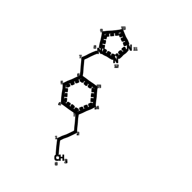 CCCc1ccc(Cn2ccnn2)cc1